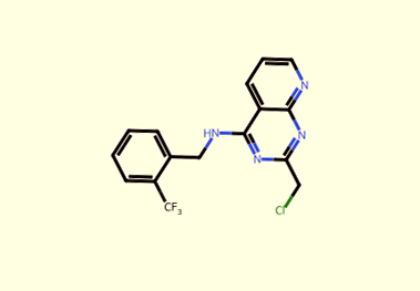 FC(F)(F)c1ccccc1CNc1nc(CCl)nc2ncccc12